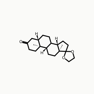 C[C@]12CCC(=O)C[C@@H]1CCC1[C@@H]2CC[C@@]2(C)[C@H]1CCC21OCCO1